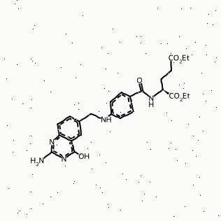 CCOC(=O)CC[C@H](NC(=O)c1ccc(NCc2ccc3nc(N)nc(O)c3c2)cc1)C(=O)OCC